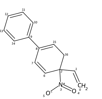 C=CC1([N+](=O)[O-])C=CC(c2ccccc2)=CC1